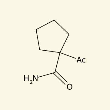 CC(=O)C1(C(N)=O)CCCC1